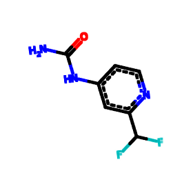 NC(=O)Nc1ccnc(C(F)F)c1